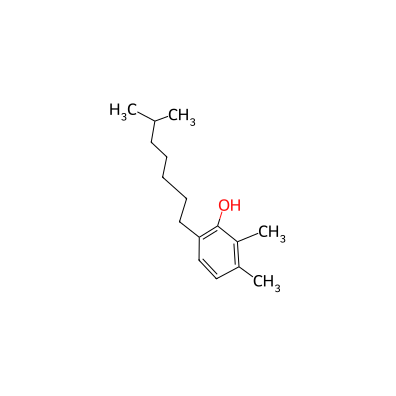 Cc1ccc(CCCCCC(C)C)c(O)c1C